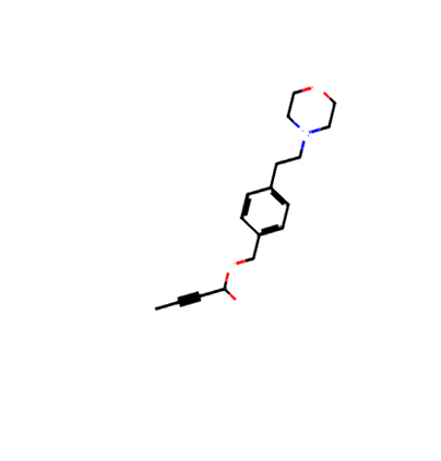 CC#CC(O)OCc1ccc(CCN2CCOCC2)cc1